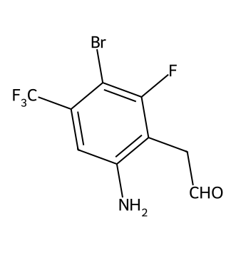 Nc1cc(C(F)(F)F)c(Br)c(F)c1CC=O